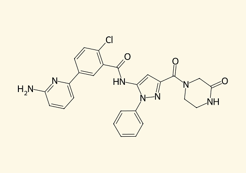 Nc1cccc(-c2ccc(Cl)c(C(=O)Nc3cc(C(=O)N4CCNC(=O)C4)nn3-c3ccccc3)c2)n1